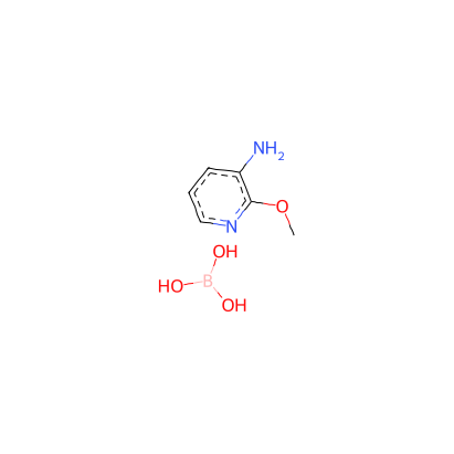 COc1ncccc1N.OB(O)O